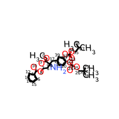 COC(=O)[C@@](N)(CCOC(=O)c1ccccc1)Cc1ccc(OC(=O)OCC(C)C)c(OC(=O)OCC(C)C)c1